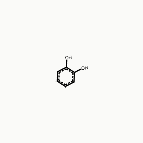 Oc1c[c][c]cc1O